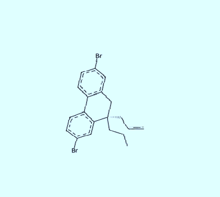 C=CC[C@@]1(CCC)Cc2cc(Br)ccc2-c2ccc(Br)cc21